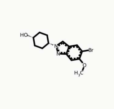 COc1cc2nn([C@H]3CC[C@@H](O)CC3)cc2cc1Br